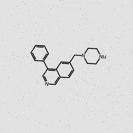 c1ccc(-c2cncc3ccc(CN4CCNCC4)cc23)cc1